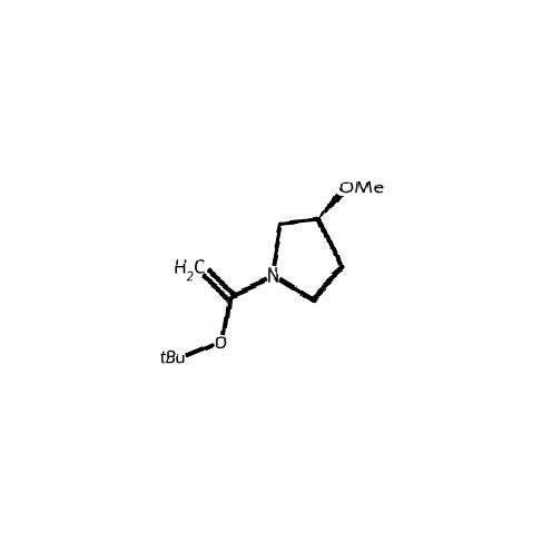 C=C(OC(C)(C)C)N1CC[C@H](OC)C1